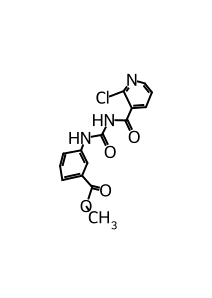 COC(=O)c1cccc(NC(=O)NC(=O)c2cccnc2Cl)c1